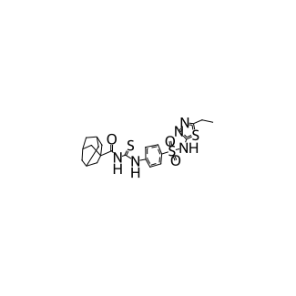 CCc1nnc(NS(=O)(=O)c2ccc(NC(=S)NC(=O)C34CC5CC(CC(C5)C3)C4)cc2)s1